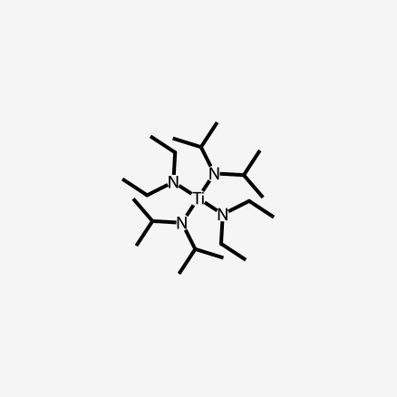 CC[N](CC)[Ti]([N](CC)CC)([N](C(C)C)C(C)C)[N](C(C)C)C(C)C